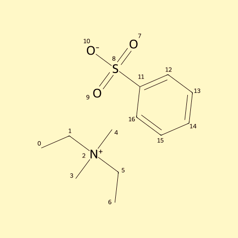 CC[N+](C)(C)CC.O=S(=O)([O-])c1ccccc1